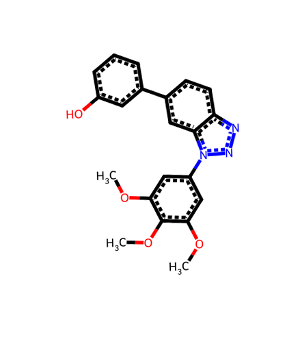 COc1cc(-n2nnc3ccc(-c4cccc(O)c4)cc32)cc(OC)c1OC